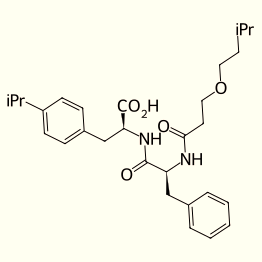 CC(C)CCOCCC(=O)N[C@@H](Cc1ccccc1)C(=O)N[C@@H](Cc1ccc(C(C)C)cc1)C(=O)O